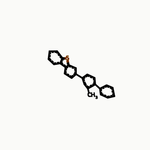 Cc1cc(-c2ccc3c(c2)sc2ccccc23)ccc1-c1ccccc1